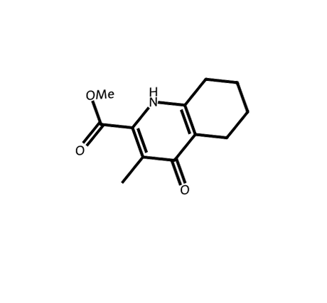 COC(=O)c1[nH]c2c(c(=O)c1C)CCCC2